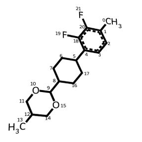 Cc1ccc(C2CCC(C3OCC(C)CO3)CC2)c(F)c1F